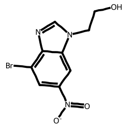 O=[N+]([O-])c1cc(Br)c2ncn(CCO)c2c1